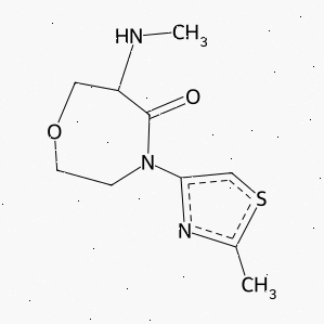 CNC1COCCN(c2csc(C)n2)C1=O